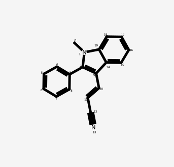 Cn1c(-c2ccccc2)c(/C=C/C#N)c2ccccc21